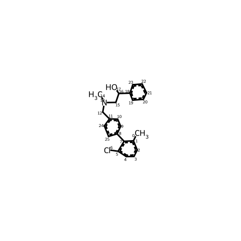 Cc1cccc(Cl)c1-c1ccc(CN(C)CC(O)c2ccccc2)cc1